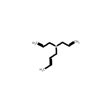 C=CCN(CC=C)CC=CC